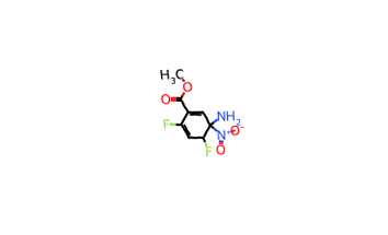 COC(=O)C1=CC(N)([N+](=O)[O-])C(F)C=C1F